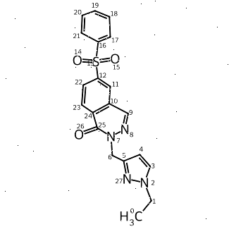 CCn1ccc(Cn2ncc3cc(S(=O)(=O)c4ccccc4)ccc3c2=O)n1